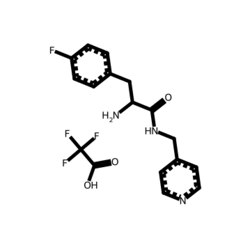 NC(Cc1ccc(F)cc1)C(=O)NCc1ccncc1.O=C(O)C(F)(F)F